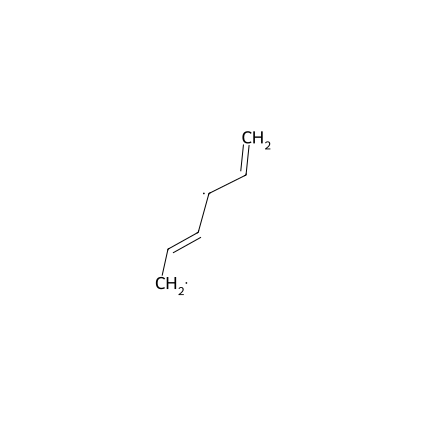 [CH2]/C=C/[CH]C=C